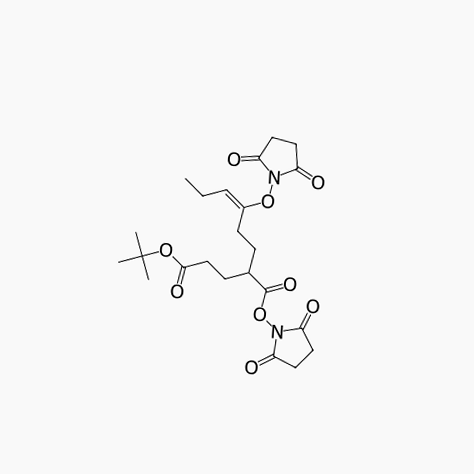 CCC=C(CCC(CCC(=O)OC(C)(C)C)C(=O)ON1C(=O)CCC1=O)ON1C(=O)CCC1=O